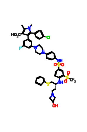 Cc1c(C(=O)O)c(-c2cc(F)cc(N3CCN(c4ccc(NS(=O)(=O)c5ccc(N[C@H](CCN6CC(O)C6)CSc6ccccc6)c(S(=O)(=O)C(F)(F)F)c5)cc4)CC3)c2)c(-c2ccc(Cl)cc2)n1C